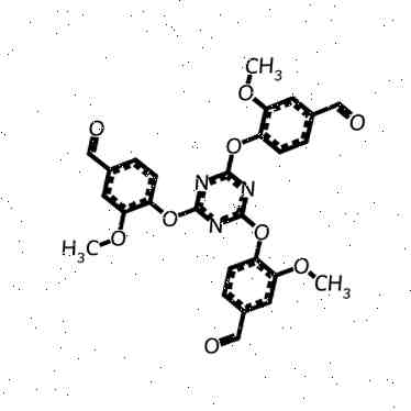 COc1cc(C=O)ccc1Oc1nc(Oc2ccc(C=O)cc2OC)nc(Oc2ccc(C=O)cc2OC)n1